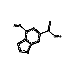 CNc1nc(C(=O)OC)cn2nccc12